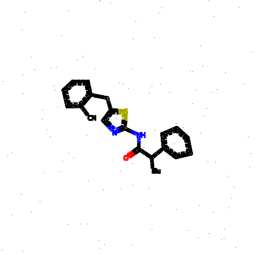 CCC(C)C(C(=O)Nc1ncc(Cc2ccccc2C#N)s1)c1ccccc1